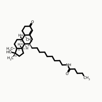 CCCCC(=O)NCCCCCCCCC[C@@H]1CC2=CC(=O)CC[C@]2(C)[C@H]2CC[C@@]3(C)[C@@H](CC[C@]3(C)O)[C@H]12